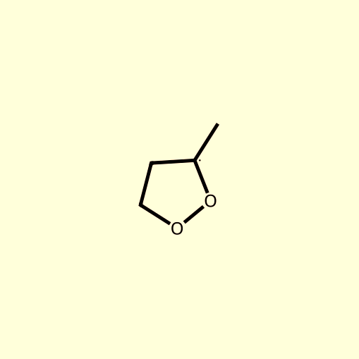 C[C]1CCOO1